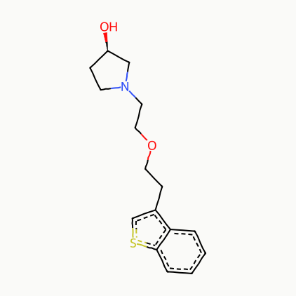 O[C@@H]1CCN(CCOCCc2csc3ccccc23)C1